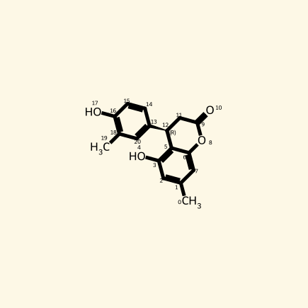 Cc1cc(O)c2c(c1)OC(=O)C[C@@H]2c1ccc(O)c(C)c1